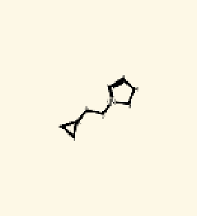 C1=CN(CCC2CC2)CC1